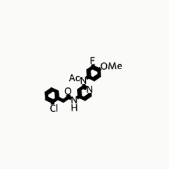 COc1ccc(N(C(C)=O)c2cc(NC(=O)Cc3ccccc3Cl)ccn2)cc1F